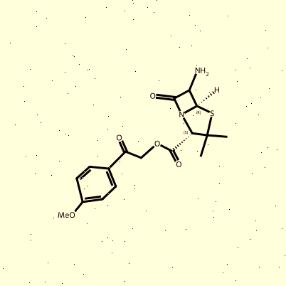 COc1ccc(C(=O)COC(=O)[C@@H]2N3C(=O)C(N)[C@H]3SC2(C)C)cc1